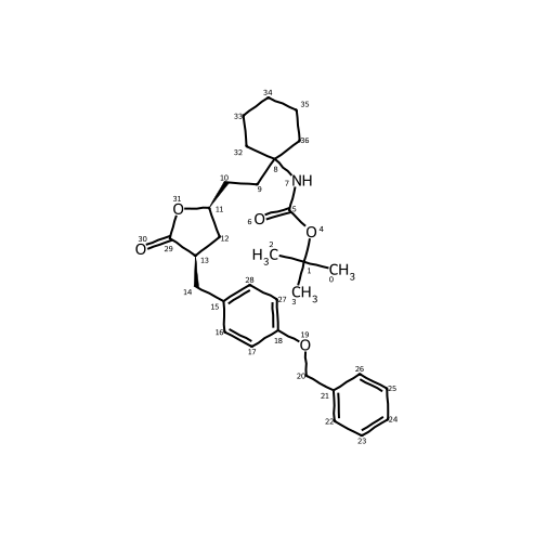 CC(C)(C)OC(=O)NC1(CC[C@H]2C[C@@H](Cc3ccc(OCc4ccccc4)cc3)C(=O)O2)CCCCC1